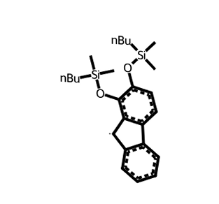 CCCC[Si](C)(C)Oc1ccc2c(c1O[Si](C)(C)CCCC)[CH]c1ccccc1-2